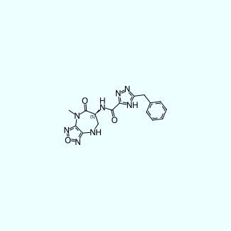 CN1C(=O)[C@@H](NC(=O)c2nnc(Cc3ccccc3)[nH]2)CNc2nonc21